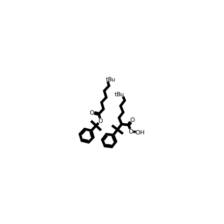 CC(C)(C)CCCCC(C(=O)OO)C(C)(C)c1ccccc1.CC(C)(C)CCCCCC(=O)OC(C)(C)c1ccccc1